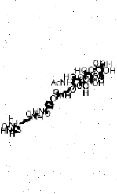 CC(=O)NC1C(O)[C@H](O[C@@H]2OC(CO)[C@H](O)C(O[C@H]3OC(CO)[C@H](O)C(O)C3O)C2O)C(CO)O[C@H]1OCCCNC(=O)COc1ccc(C(=O)NCCNC(=O)CCCC[C@@H]2SC[C@@H]3NC(=O)N[C@@H]32)cc1